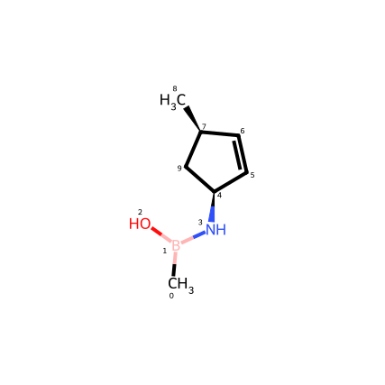 CB(O)N[C@@H]1C=C[C@H](C)C1